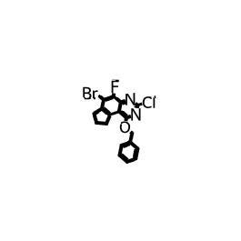 Fc1c(Br)c2c(c3c(OCc4ccccc4)nc(Cl)nc13)CCC2